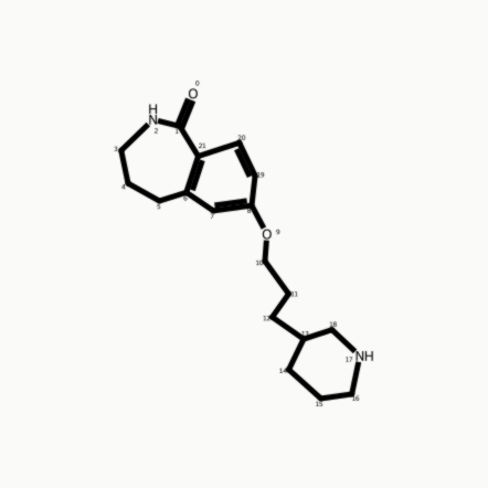 O=C1NCCCc2cc(OCCCC3CCCNC3)ccc21